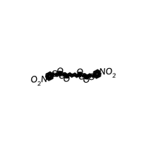 O=C(CCCCC(=O)OCC(=O)COc1ccc([N+](=O)[O-])cc1)COC(=O)COc1ccc([N+](=O)[O-])cc1